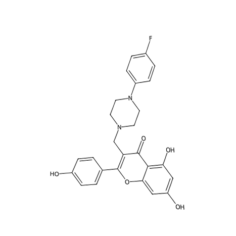 O=c1c(CN2CCN(c3ccc(F)cc3)CC2)c(-c2ccc(O)cc2)oc2cc(O)cc(O)c12